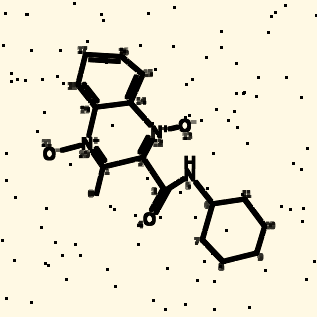 Cc1c(C(=O)NC2CCCCC2)[n+]([O-])c2ccccc2[n+]1[O-]